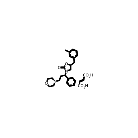 Cc1cccc(CC2CN(C(CCN3CCOCC3)c3ccccc3)C(=O)O2)c1.O=C(O)C=CC(=O)O